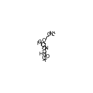 CC[N+](C)(CC)OCCCOc1cc2nc(CNC(=O)OC(C)(C)C)sc2cc1OC.[I-]